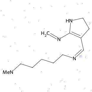 C=NC1=C(/C=N\CCCCCNC)CCN1